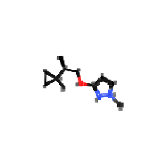 CC(=O)n1ccc(OC[C@H](C)C2(C)CC2)n1